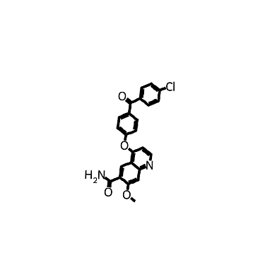 COc1cc2nccc(Oc3ccc(C(=O)c4ccc(Cl)cc4)cc3)c2cc1C(N)=O